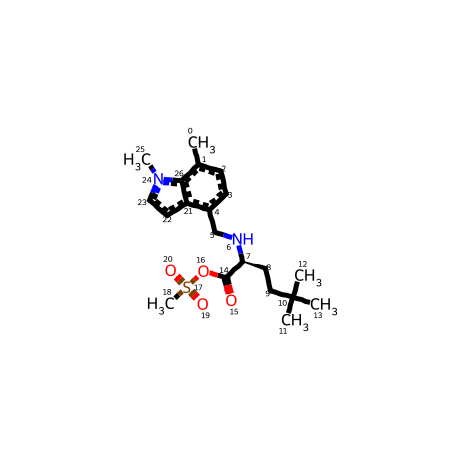 Cc1ccc(CN[C@@H](CCC(C)(C)C)C(=O)OS(C)(=O)=O)c2ccn(C)c12